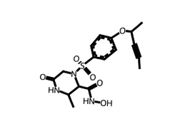 CC#CC(C)Oc1ccc(S(=O)(=O)N2CC(=O)NC(C)C2C(=O)NO)cc1